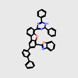 c1ccc(C2=NC(c3cccc4c3oc3c(-c5nc6ccccc6o5)cc(-c5cccc(-c6ccccc6)c5)cc34)=NC(c3ccccc3)N2)cc1